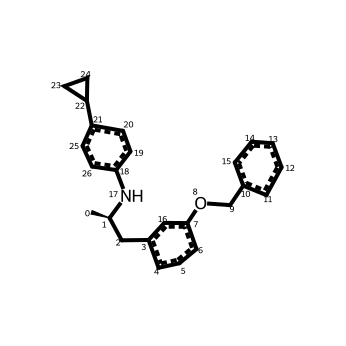 C[C@H](Cc1cccc(OCc2ccccc2)c1)Nc1ccc(C2CC2)cc1